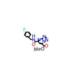 COC(=O)c1cc(C(=O)NCc2ccc(F)cc2)nc2ncnn12